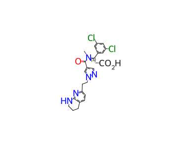 CN(C(=O)c1cnn(CCc2ccc3c(n2)NCCC3)c1)[C@@H](CC(=O)O)c1cc(Cl)cc(Cl)c1